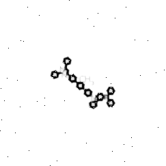 Cc1cc(-c2ccc(-n3c4ccccc4c4cc(N(c5ccccc5)c5ccccc5)ccc43)cc2)ccc1-c1ccc(-c2cc(-c3ccccc3)nc(-c3ccccc3)n2)cc1